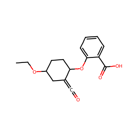 CCOC1CCC(Oc2ccccc2C(=O)O)C(=C=O)C1